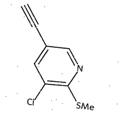 C#Cc1cnc(SC)c(Cl)c1